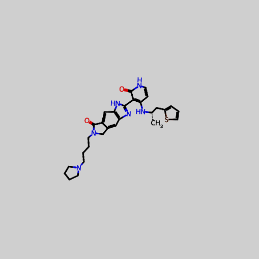 C[C@@H](Cc1cccs1)Nc1cc[nH]c(=O)c1-c1nc2cc3c(cc2[nH]1)C(=O)N(CCCCN1CCCC1)C3